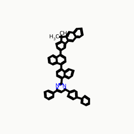 CC1(C)c2ccc(-c3ccc(-c4ccc(-c5nc(-c6ccccc6)cc(-c6ccc(-c7ccccc7)cc6)n5)c5ccccc45)c4ccccc34)cc2-c2cc3ccccc3cc21